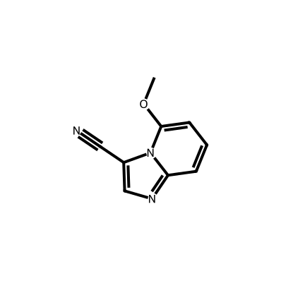 COc1cccc2ncc(C#N)n12